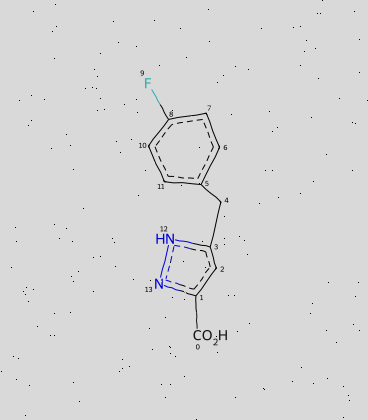 O=C(O)c1cc(Cc2ccc(F)cc2)[nH]n1